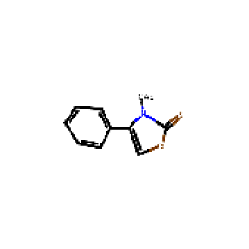 CC(=O)On1c(-c2ccccc2)csc1=S